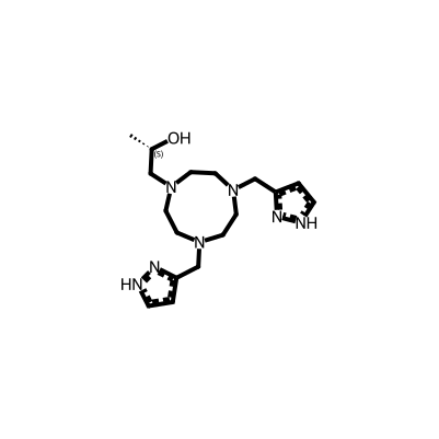 C[C@H](O)CN1CCN(Cc2cc[nH]n2)CCN(Cc2cc[nH]n2)CC1